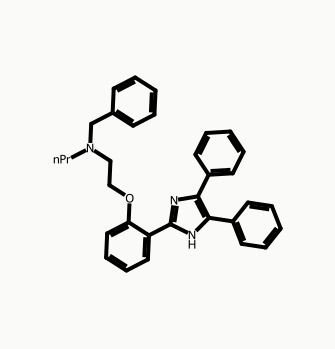 CCCN(CCOc1ccccc1-c1nc(-c2ccccc2)c(-c2ccccc2)[nH]1)Cc1ccccc1